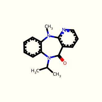 CC(C)N1C(=O)c2cccnc2N(C)c2ccccc21